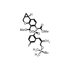 COC(=O)c1c(N(C(=O)OC)S(=O)(=O)c2ccc(F)cc2/C=C(/C)CO[Si](C)(C)C(C)(C)C)ccc2c1OCC1C[C@H]21